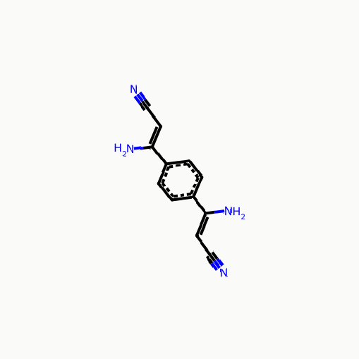 N#CC=C(N)c1ccc(C(N)=CC#N)cc1